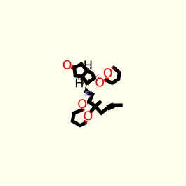 CC#CCC(C)(C)[C@@H](/C=C/[C@@H]1[C@H]2CC(=O)C[C@H]2C[C@H]1OC1CCCCO1)OC1CCCCO1